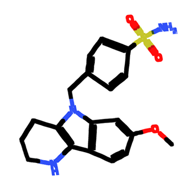 COc1ccc2c3c(n(Cc4ccc(S(N)(=O)=O)cc4)c2c1)CCCN3